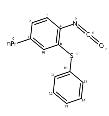 CCCc1ccc(N=C=O)c(Sc2ccccc2)c1